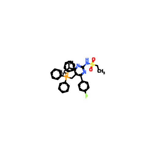 CCS(=O)(=O)Nc1nc(-c2ccc(F)cc2)c(C[PH](c2ccccc2)(c2ccccc2)c2ccccc2)c(C(C)C)n1